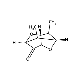 CC1[C@H]2O[C@@H]3C(=O)C2O[C@@H]1C3C